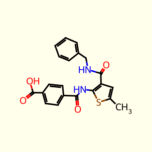 Cc1cc(C(=O)NCc2ccccc2)c(NC(=O)c2ccc(C(=O)O)cc2)s1